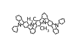 Cc1c2c3cccc4c5cc6c(cc5n(c2c(C)c2c5cccc7c8cc9c(cc8n(c12)c75)c1ccccc1n9-c1ccccc1)c43)c1ccccc1n6-c1ccccc1